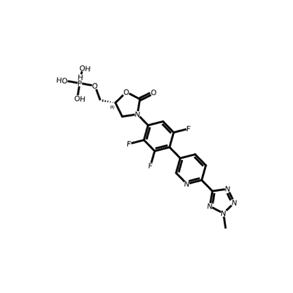 Cn1nnc(-c2ccc(-c3c(F)cc(N4C[C@H](CO[PH](O)(O)O)OC4=O)c(F)c3F)cn2)n1